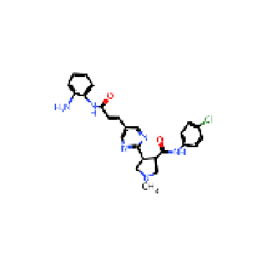 CN1CC(C(=O)Nc2ccc(Cl)cc2)C(c2ncc(/C=C/C(=O)Nc3ccccc3N)cn2)C1